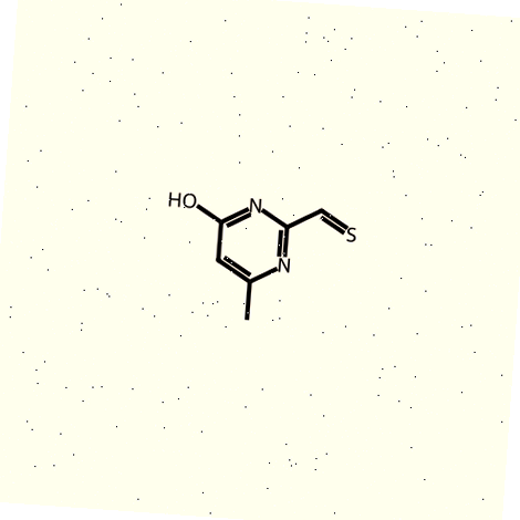 Cc1cc(O)nc(C=S)n1